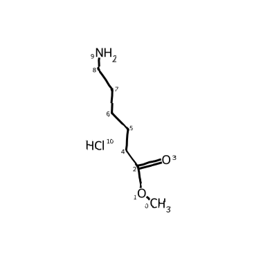 COC(=O)CCCCCN.Cl